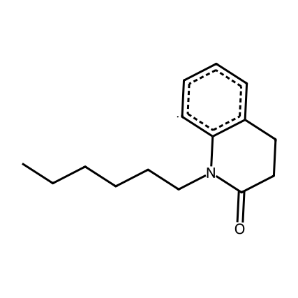 CCCCCCN1C(=O)CCc2ccc[c]c21